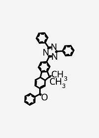 CC1(C)c2cc(-c3nc(-c4ccccc4)nc(-c4ccccc4)n3)ccc2C2C=CC(C(=O)c3ccccc3)=CC21